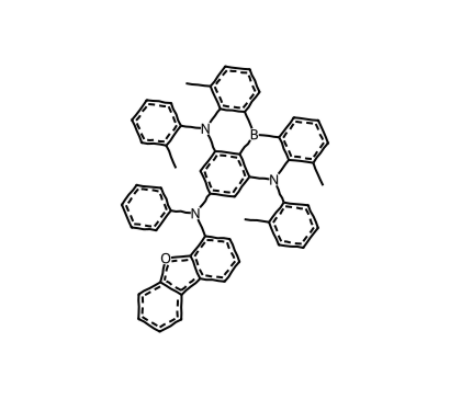 Cc1ccccc1N1c2cc(N(c3ccccc3)c3cccc4c3oc3ccccc34)cc3c2B(c2cccc(C)c21)c1cccc(C)c1N3c1ccccc1C